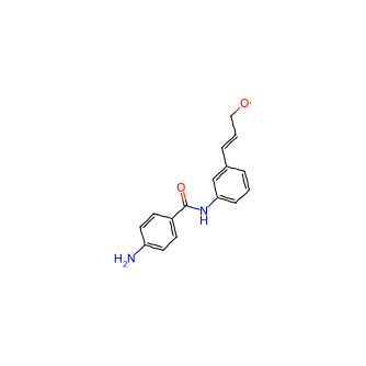 Nc1ccc(C(=O)Nc2cccc(C=CC[O])c2)cc1